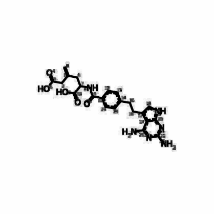 C=C(CC(=O)O)CC(NC(=O)c1ccc(CCc2c[nH]c3nc(N)nc(N)c23)cc1)C(=O)O